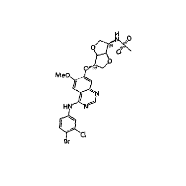 COc1cc2c(Nc3ccc(Br)c(Cl)c3)ncnc2cc1O[C@@H]1COC2C1OC[C@H]2NS(C)(=O)=O